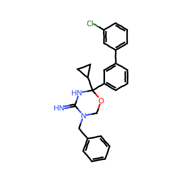 N=C1NC(c2cccc(-c3cccc(Cl)c3)c2)(C2CC2)OCN1Cc1ccccc1